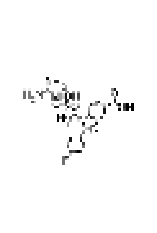 CS(=O)(=O)O.Cn1c(-c2ccc(F)cc2)nc2cc(C(=O)O)ccc21.N=C(N)N